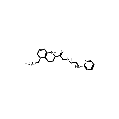 O=C(O)CC1CC=CC2=C1CCC(C(=O)CNCCNc1ccccn1)N2